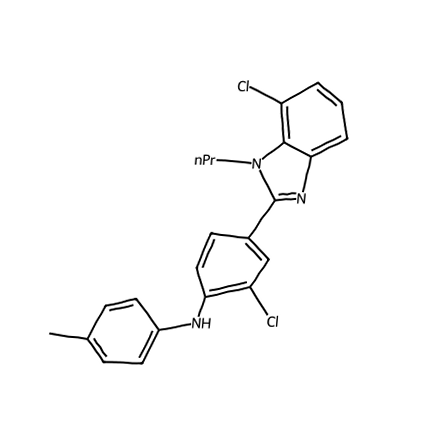 CCCn1c(-c2ccc(Nc3ccc(C)cc3)c(Cl)c2)nc2cccc(Cl)c21